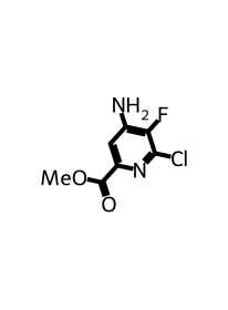 COC(=O)c1cc(N)c(F)c(Cl)n1